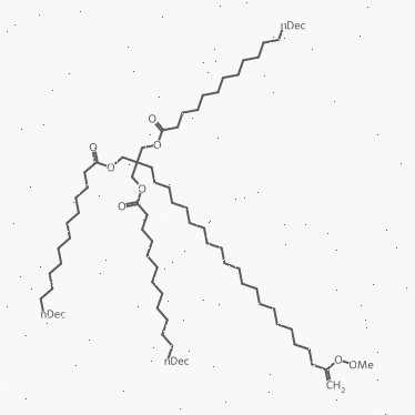 C=C(CCCCCCCCCCCCCCCCCCCCC(COC(=O)CCCCCCCCCCCCCCCCCCCCC)(COC(=O)CCCCCCCCCCCCCCCCCCCCC)COC(=O)CCCCCCCCCCCCCCCCCCCCC)OOC